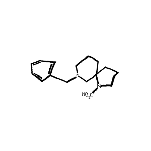 O=C(O)N1CCCC12CCCN(Cc1ccccc1)C2